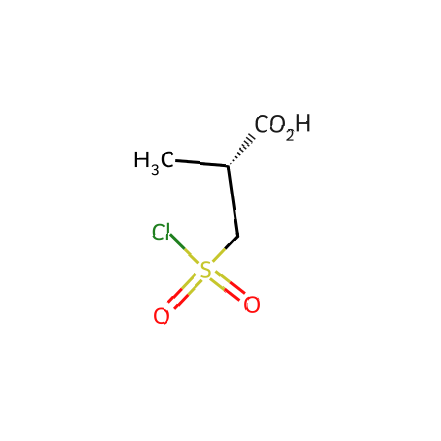 C[C@@H](CS(=O)(=O)Cl)C(=O)O